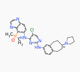 CP(C)(=O)c1c(Nc2nc(Nc3ccc4c(c3)CC[C@@H](N3CCCC3)CC4)ncc2Cl)ccc2nccnc12